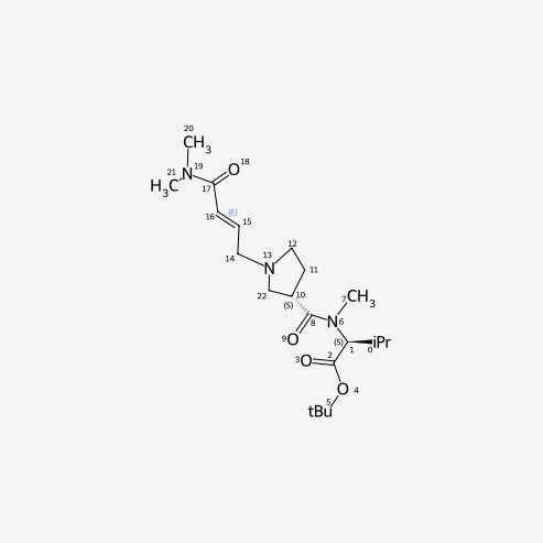 CC(C)[C@@H](C(=O)OC(C)(C)C)N(C)C(=O)[C@H]1CCN(C/C=C/C(=O)N(C)C)C1